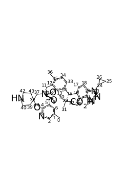 Cc1cnc2c(c1)S(=O)(=O)N(Cc1cc([C@H](c3ccc4c(nnn4C4CC4)c3C)C(C)(C)C(=O)O)ccc1C)CC1(CCNCC1)O2